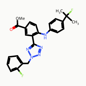 COC(=O)c1ccc(Nc2ccc(C(C)(C)F)cc2)c(-c2nnn(Cc3ccccc3F)n2)c1